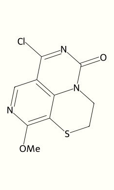 COc1ncc2c(Cl)nc(=O)n3c2c1SCC3